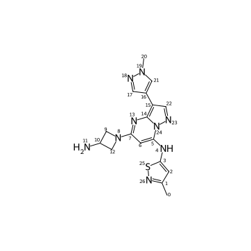 Cc1cc(Nc2cc(N3CC(N)C3)nc3c(-c4cnn(C)c4)cnn23)sn1